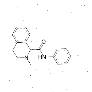 Cc1ccc(NC(=O)C2c3ccccc3CCN2C)cc1